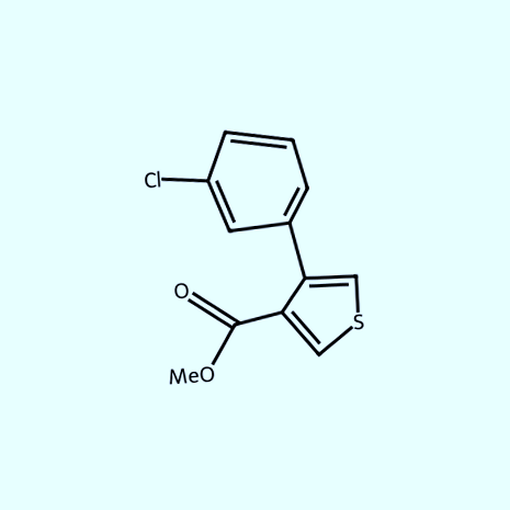 COC(=O)c1cscc1-c1cccc(Cl)c1